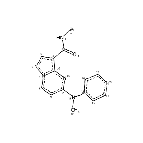 CC(C)NC(=O)c1cnn2ccc(N(C)c3ccncc3)nc12